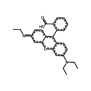 CC/N=c1\ccc2c(-c3ccccc3C(=O)O)c3ccc(N(CC)CC)cc3oc-2c1